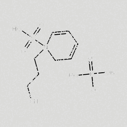 CCCC[N+]1(S(=O)(=O)O)C=CC=CC1.O=P([O-])(O)O